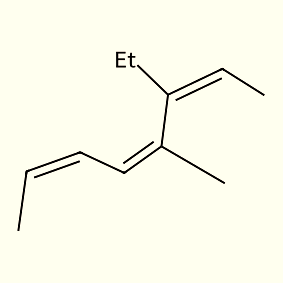 C\C=C/C=C(C)\C(=C/C)CC